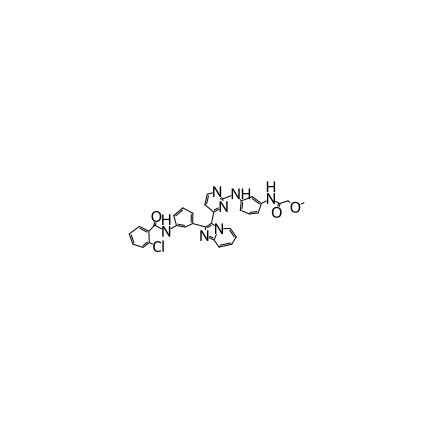 COCC(=O)Nc1cccc(Nc2nccc(-c3c(-c4cccc(NC(=O)c5ccccc5Cl)c4)nc4ccccn34)n2)c1